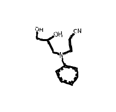 N#CCCN(CC(O)CO)c1ccccc1